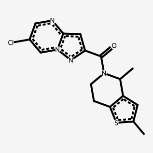 Cc1cc2c(s1)CCN(C(=O)c1cc3ncc(Cl)cn3n1)C2C